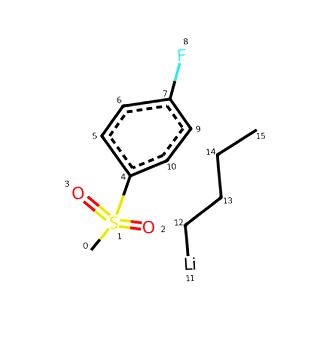 CS(=O)(=O)c1ccc(F)cc1.[Li][CH2]CCC